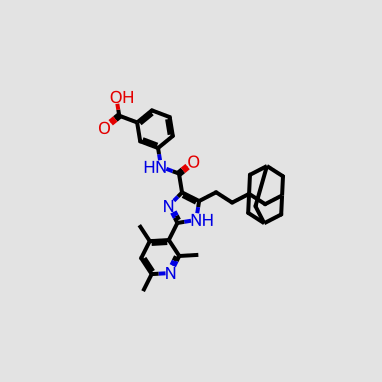 Cc1cc(C)c(-c2nc(C(=O)Nc3cccc(C(=O)O)c3)c(CCC34CC5CC(CC(C5)C3)C4)[nH]2)c(C)n1